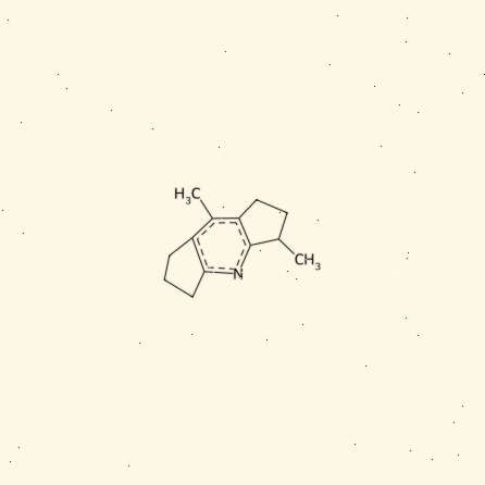 Cc1c2c(nc3c1CCC3C)CCC2